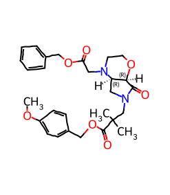 COc1ccc(COC(=O)C(C)(C)CN2C[C@@H]3[C@@H](OCCN3CC(=O)OCc3ccccc3)C2=O)cc1